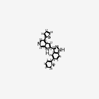 c1ccc(-c2ccc3[nH]nc(-c4cc5c(-c6cccs6)cncc5[nH]4)c3c2)nc1